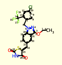 CCOc1nn(Cc2ccc(Cl)cc2C(F)(F)F)c2ccc(/C=C3\SC(=O)NC3=O)cc12